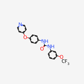 O=C(Nc1ccc(Oc2ccncc2)cc1)Nc1cccc(OC(F)(F)F)c1